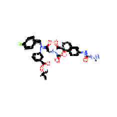 CNC(=O)Nc1ccc2c(c1)CC[C@@]21OC(=O)N(CC(=O)N(Cc2ccc(F)cc2)c2cccc(C(=O)OC(C)(C)C)c2)C1=O